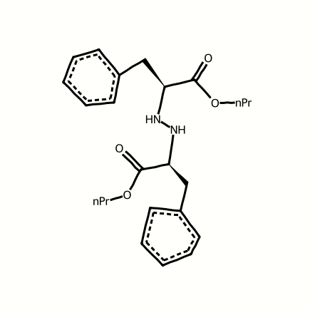 CCCOC(=O)[C@H](Cc1ccccc1)NN[C@@H](Cc1ccccc1)C(=O)OCCC